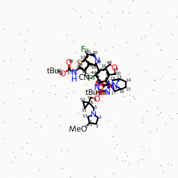 CO[C@@H]1CCN(CC2(COc3nc(N4C5CCC4CN(C(=O)OC(C)(C)C)C5)c4c5c(c(-c6ncc(F)c7sc(NC(=O)OC(C)(C)C)c(C#N)c67)c(F)c4n3)COC5)CC2)C1